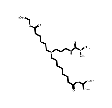 CCCCCCCCCCCOC(=O)CCCCCN(CCCCCCCC(=O)OC(CCCCCCCC)CCCCCCCC)CCCNC(=S)N(C)C